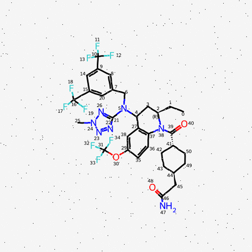 CC[C@@H]1CC(N(Cc2cc(C(F)(F)F)cc(C(F)(F)F)c2)c2nnn(C)n2)c2cc(OC(F)(F)F)ccc2N1C(=O)[C@H]1CC[C@H](CC(N)=O)CC1